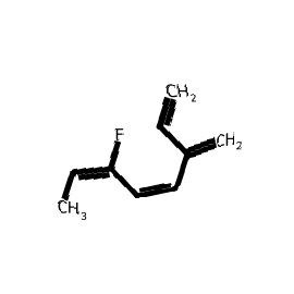 C=CC(=C)/C=C\C(F)=C/C